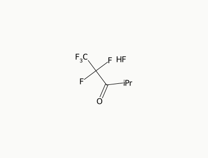 CC(C)C(=O)C(F)(F)C(F)(F)F.F